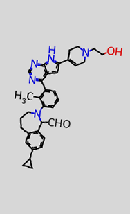 Cc1c(-c2ncnc3[nH]c(C4=CCN(CCO)CC4)cc23)cccc1N1CCCc2cc(C3CC3)ccc2C1C=O